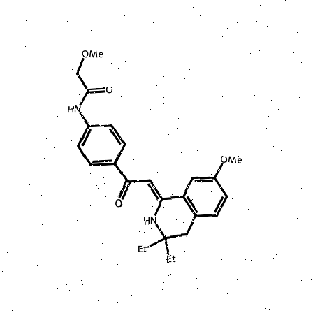 CCC1(CC)Cc2ccc(OC)cc2C(=CC(=O)c2ccc(NC(=O)COC)cc2)N1